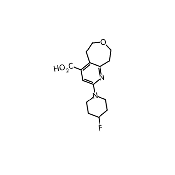 O=C(O)c1cc(N2CCC(F)CC2)nc2c1CCOCC2